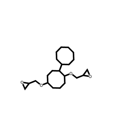 C1CCCC(C2CCC(OCC3CO3)CCCC2OCC2CO2)CCC1